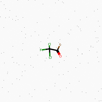 O=C([S])C(F)(Cl)Cl